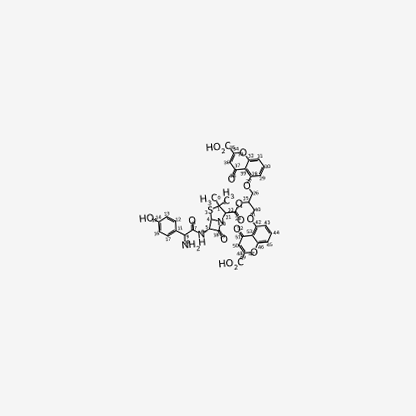 CC1(C)SC2[C@H](NC(=O)C(N)c3ccc(O)cc3)C(=O)N2C1C(=O)OC(COc1cccc2oc(C(=O)O)cc(=O)c12)COc1cccc2oc(C(=O)O)cc(=O)c12